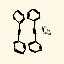 C(#Cc1ccccc1)c1ccccc1.C(#Cc1ccccc1)c1ccccc1.CCCCCO.[Pt]